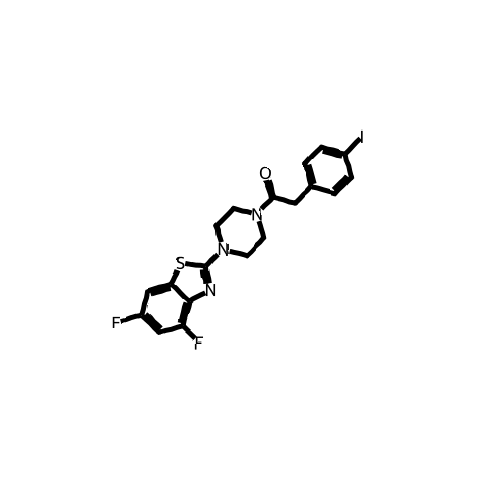 O=C(Cc1ccc(I)cc1)N1CCN(c2nc3c(F)cc(F)cc3s2)CC1